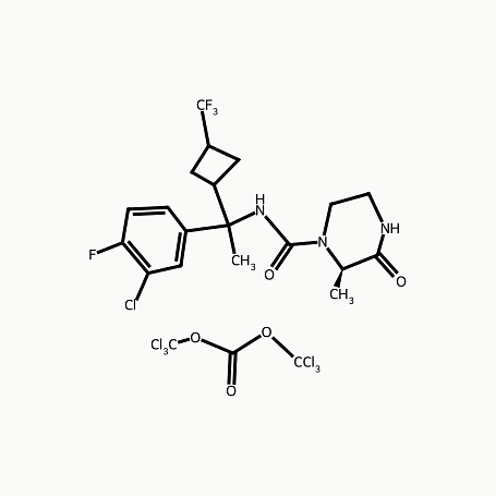 C[C@@H]1C(=O)NCCN1C(=O)NC(C)(c1ccc(F)c(Cl)c1)C1CC(C(F)(F)F)C1.O=C(OC(Cl)(Cl)Cl)OC(Cl)(Cl)Cl